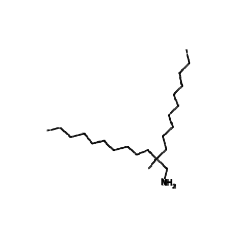 CCCCCCCCCCC(C)(CN)CCCCCCCCCC